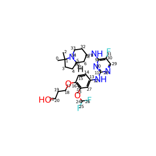 CC1(C)CC[C@@H]2C[C@@H](Nc3nc(Nc4ccc(OCCCO)c(OC(F)F)c4)ncc3F)CCN21